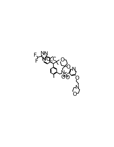 Cc1ccc(C(c2ccn3c(C(F)F)nnc3c2C)C(C)(C)C(=O)O)cc1CN1CC2(CCOCC2)Oc2ncc(OCCN3CCOCC3)cc2S1(=O)=O